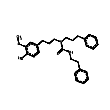 COc1cc(CCCN(CCCc2ccccc2)C(=S)NCCc2ccccc2)ccc1O